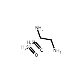 NCCN.O=[SiH2].O=[SiH2]